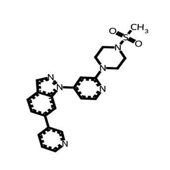 CS(=O)(=O)N1CCN(c2cc(-n3ncc4ccc(-c5cccnc5)cc43)ccn2)CC1